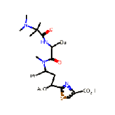 CCC(C)C(NC(=O)C(C)(C)N(C)C)C(=O)N(C)C(CC(OC(C)=O)c1nc(C(=O)O)cs1)C(C)C